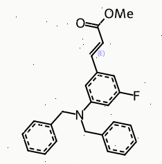 COC(=O)/C=C/c1cc(F)cc(N(Cc2ccccc2)Cc2ccccc2)c1